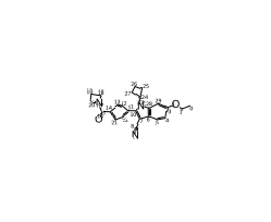 CCOc1ccc2c(C#N)c(-c3ccc(C(=O)N4CCC4)cc3)n(C3CCC3)c2c1